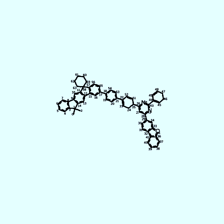 CC1(C)c2ccccc2-c2cc3c(cc21)-c1cc(-c2ccc(C4=CCC(c5cc(-c6ccc7c(c6)oc6ccccc67)nc(C6=CCCC=C6)n5)C=C4)cc2)ccc1C31CCCCC1